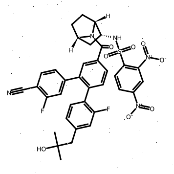 CC(C)(O)Cc1ccc(-c2ccc(C(=O)N3[C@H]4CC[C@@H]3[C@H](NS(=O)(=O)c3ccc([N+](=O)[O-])cc3[N+](=O)[O-])C4)cc2-c2ccc(C#N)c(F)c2)c(F)c1